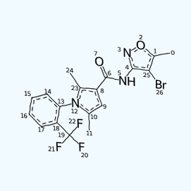 Cc1onc(NC(=O)c2cc(C)n(-c3ccccc3C(F)(F)F)c2C)c1Br